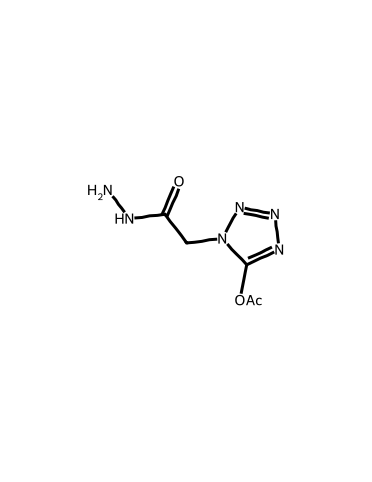 CC(=O)Oc1nnnn1CC(=O)NN